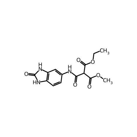 CCOC(=O)C(C(=O)Nc1ccc2[nH]c(=O)[nH]c2c1)C(=O)OC